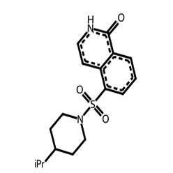 CC(C)C1CCN(S(=O)(=O)c2cccc3c(=O)[nH]ccc23)CC1